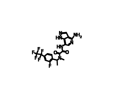 CC(c1ccc(C(F)(F)C(F)(F)F)cc1F)N(C)C(=O)C(=O)Nc1cnc(N)c2cn[nH]c12